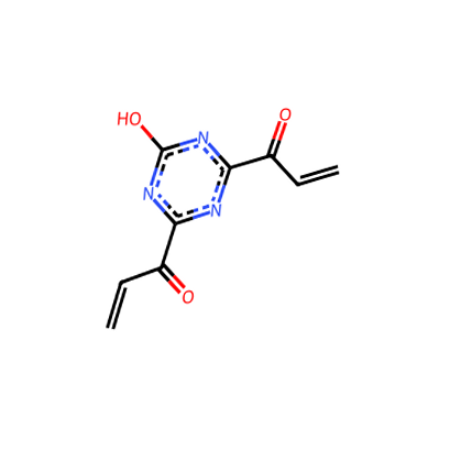 C=CC(=O)c1nc(O)nc(C(=O)C=C)n1